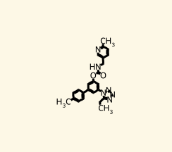 CCc1nnnn1-c1cc(OC(=O)NCc2ccc(C)nc2)cc(-c2ccc(C)cc2)c1